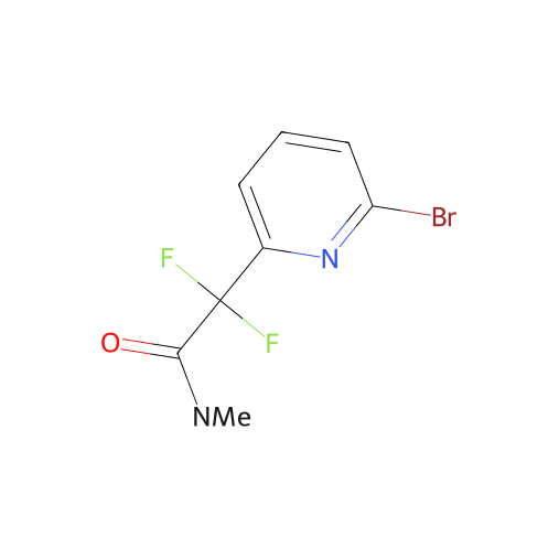 CNC(=O)C(F)(F)c1cccc(Br)n1